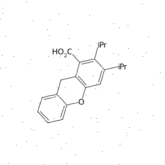 CC(C)c1cc2c(c(C(=O)O)c1C(C)C)Cc1ccccc1O2